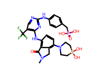 CN1Cc2c(N3CCS(O)(O)CC3)ccc(Nc3nc(Nc4ccc(CP(=O)(O)O)cc4)ncc3C(F)(F)F)c2C1=O